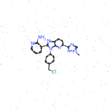 Cn1cnc(-c2ccc3nc(-c4cccnc4N)n(-c4ccc(CCl)cc4)c3n2)n1